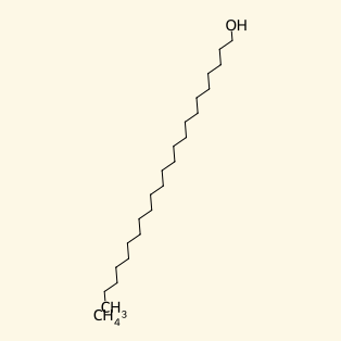 C.CCCCCCCCCCCCCCCCCCCCCCCO